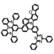 c1ccc(-c2nc(-c3ccccc3)nc(-c3ccc(-n4c5ccccc5c5c6oc7ccccc7c6ccc54)c(-c4ccc(-c5cc6c7c(c5)N(c5ccccc5)c5ccccc5B7c5ccccc5N6c5ccccc5)cc4)c3)n2)cc1